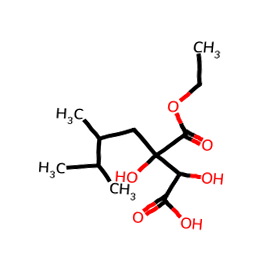 CCOC(=O)C(O)(CC(C)C(C)C)C(O)C(=O)O